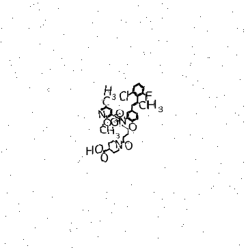 CCOc1ncc(C)cc1S(=O)(=O)N1C[C@H](CCC(=O)N2CCC(C(=O)O)CC2)Oc2ccc(/C=C(\C)c3c(F)cccc3Cl)cc21